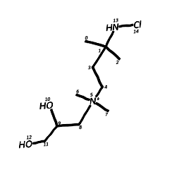 CC(C)(CC[N+](C)(C)CC(O)CO)NCl